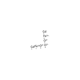 [Fe+3].[Fe+3].[Gd].[Gd].[O-2].[O-2].[O-2]